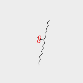 CCCCCCCCCC(CCCCCCC)C([O])=O